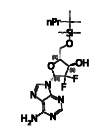 CCCC(C)(C)[Si](C)(C)OC[C@H]1O[C@@H](n2cnc3c(N)ncnc32)C(F)(F)[C@@H]1O